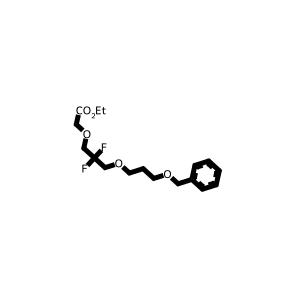 CCOC(=O)COCC(F)(F)COCCCOCc1ccccc1